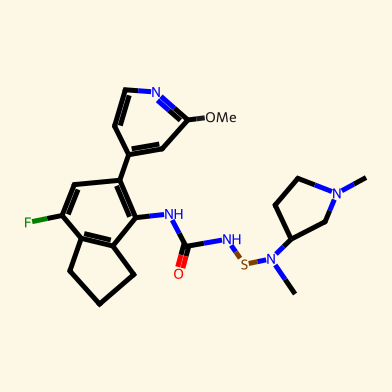 COc1cc(-c2cc(F)c3c(c2NC(=O)NSN(C)C2CCN(C)C2)CCC3)ccn1